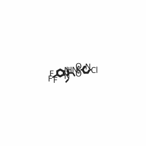 CCn1c(C(C)NS(=O)(=O)c2ccc(Cl)nc2)nc2ccc(C(F)(F)F)cc21